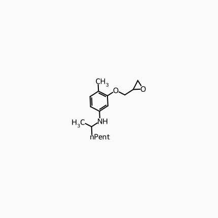 CCCCCC(C)Nc1ccc(C)c(OCC2CO2)c1